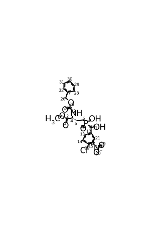 COC(=O)[C@@H](CCP(=O)(O)C(O)c1ccc(Cl)c([N+](=O)[O-])c1)NC(=O)OCc1ccccc1